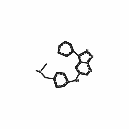 CN(C)Cc1ccc(Nn2cnc3nnc(-c4ccccc4)c-3c2)cc1